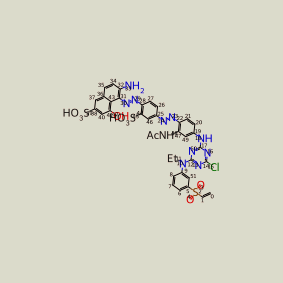 C=CS(=O)(=O)c1cccc(N(CC)c2nc(Cl)nc(Nc3ccc(/N=N/c4ccc(/N=N/c5c(N)ccc6cc(S(=O)(=O)O)cc(O)c56)c(S(=O)(=O)O)c4)c(NC(C)=O)c3)n2)c1